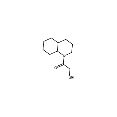 CC(C)(C)CC(=O)N1CCCC2CCCCC21